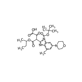 CCC(C)OC(=O)C(C(=O)C(=O)O)c1nc2c(C)cc(N3CCOCC3)cc2n1C(=O)OC(C)(C)C